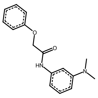 CN(C)c1cccc(NC(=O)COc2ccccc2)c1